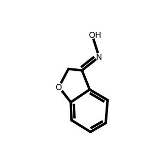 ON=C1COc2ccccc21